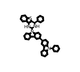 c1ccc(C2NC(n3c4ccccc4c4cc(-c5ccc6c(c5)c5ccccc5n6-c5ccccc5)ccc43)Nc3c2sc2ccccc32)cc1